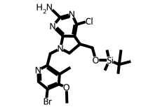 COc1c(Br)cnc(CN2CC(CO[Si](C)(C)C(C)(C)C)c3c(Cl)nc(N)nc32)c1C